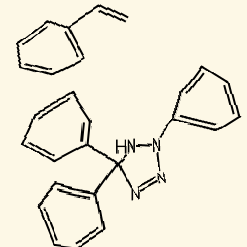 C=Cc1ccccc1.c1ccc(N2N=NC(c3ccccc3)(c3ccccc3)N2)cc1